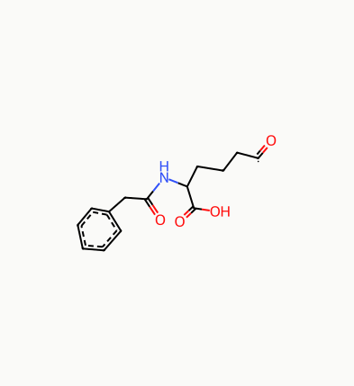 O=[C]CCCC(NC(=O)Cc1ccccc1)C(=O)O